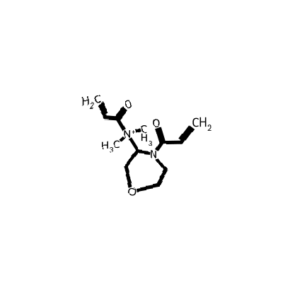 C=CC(=O)N1CCOCC1[N+](C)(C)C(=O)C=C